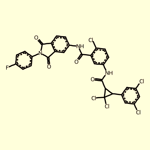 O=C(Nc1ccc2c(c1)C(=O)N(c1ccc(F)cc1)C2=O)c1cc(NC(=O)C2C(c3cc(Cl)cc(Cl)c3)C2(Cl)Cl)ccc1Cl